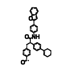 O=[C]c1ccc(CC(C(=O)Nc2ccc(-c3cc4ccccc4o3)cc2)c2ccc(C3=CCCCC3)cc2)cc1